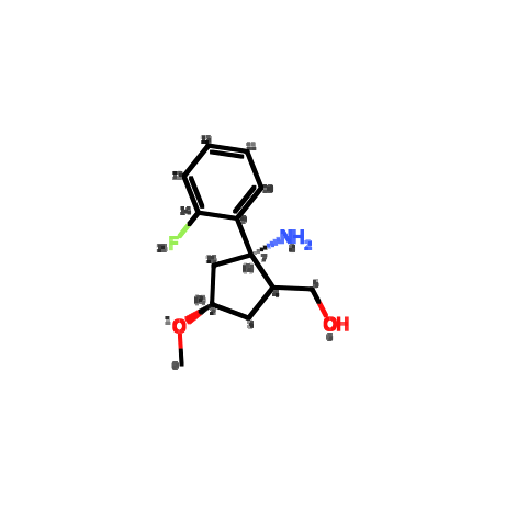 CO[C@@H]1CC(CO)[C@](N)(c2ccccc2F)C1